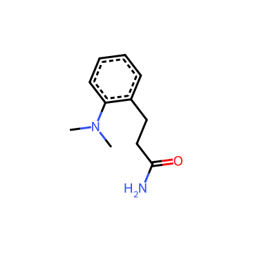 CN(C)c1ccccc1CCC(N)=O